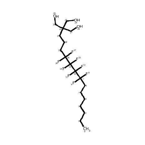 CCCCCCCC(F)(F)C(F)(F)C(F)(F)C(F)(F)CCCC(CO)(CO)CO